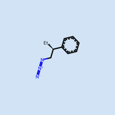 CC[C@H](CN=[N+]=[N-])c1ccccc1